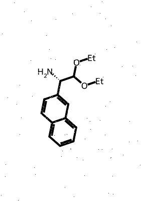 CCOC(OCC)[C@@H](N)c1ccc2ccccc2c1